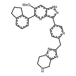 COc1cc2[nH]nc(-c3ccc(Cc4nc5n(n4)CCNC5)nc3)c2nc1-c1cccc2c1CCC2